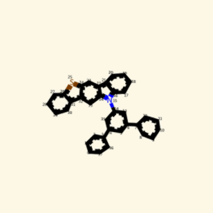 c1ccc(-c2cc(-c3ccccc3)cc(-n3c4ccccc4c4cc5sc6ccccc6c5cc43)c2)cc1